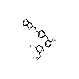 N#Cc1ccc([C@H]2CC(O)CC(CO)O2)cc1Cc1ccc(OCC2Cc3ccccc3O2)cc1